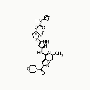 Cc1cn2nc(C(=O)N3CCOCC3)cc2c(Nc2cc([C@H]3CC[C@@H](OC(=O)NC45CC(C4)C5)[C@@H]3F)[nH]n2)n1